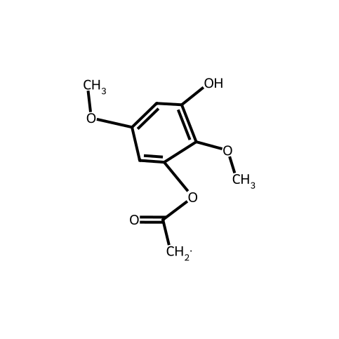 [CH2]C(=O)Oc1cc(OC)cc(O)c1OC